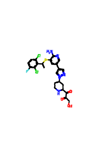 CC(Sc1cc(-c2cnn(C3CCNC(C(=O)C(=O)CO)C3)c2)cnc1N)c1c(Cl)ccc(F)c1Cl